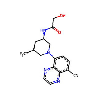 N#Cc1ccc(N2C[C@H](NC(=O)CO)C[C@H](C(F)(F)F)C2)c2nccnc12